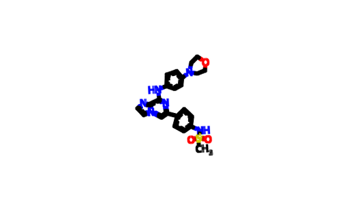 CS(=O)(=O)Nc1ccc(-c2cn3ccnc3c(Nc3ccc(N4CCOCC4)cc3)n2)cc1